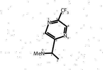 CNC(C)c1cnc(C(F)(F)F)cn1